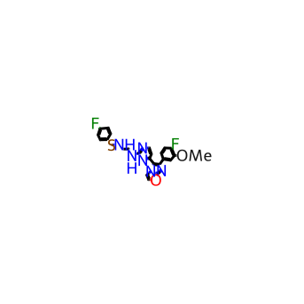 COc1cc(-c2nc3occn3c2-c2ccnc(NCCNSc3ccc(F)cc3)n2)ccc1F